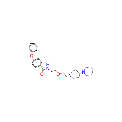 O=C(NCCOCCN1CCC(N2CCCCC2)CC1)c1ccc(Oc2ccccc2)cc1